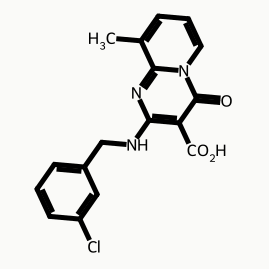 Cc1cccn2c(=O)c(C(=O)O)c(NCc3cccc(Cl)c3)nc12